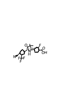 CC1(C)C(=O)N(c2ccc(C#N)c(C(F)(F)F)c2)N[SH]1c1ccc(C(=O)O)c(F)c1